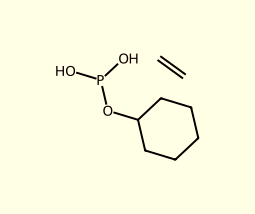 C=C.OP(O)OC1CCCCC1